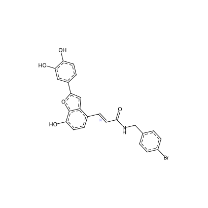 O=C(/C=C/c1ccc(O)c2oc(-c3ccc(O)c(O)c3)cc12)NCc1ccc(Br)cc1